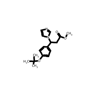 COC(=O)CC(c1ccc(OC(C)(C)C)cc1)n1ccnc1